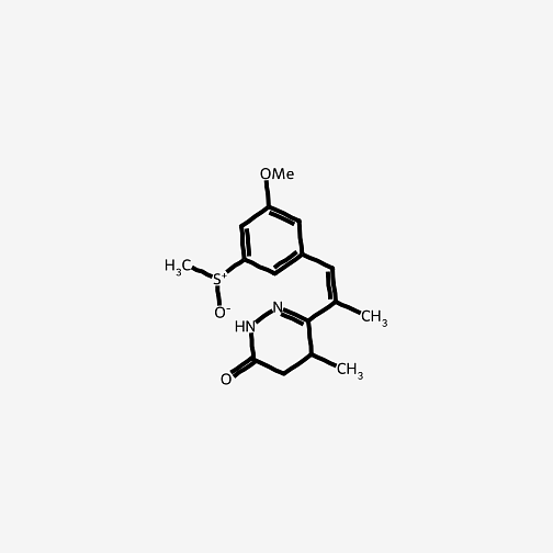 COc1cc(C=C(C)C2=NNC(=O)CC2C)cc([S+](C)[O-])c1